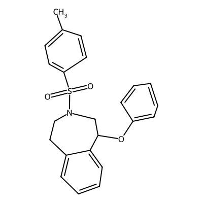 Cc1ccc(S(=O)(=O)N2CCc3ccccc3C(Oc3ccccc3)C2)cc1